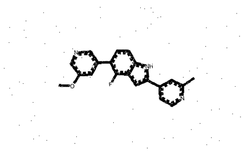 COc1cncc(-c2ccc3[nH]c(-c4ccnc(C)c4)cc3c2F)c1